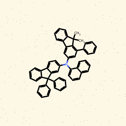 CC1(C)c2ccccc2-c2cc(N(c3ccc4c(c3)C(c3ccccc3)(c3ccccc3)c3ccccc3-4)c3cccc4ccccc34)cc(-c3ccccc3)c21